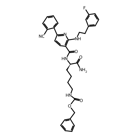 N#Cc1ccccc1-c1ccc(C(=O)N[C@H](CCCCNC(=O)OCc2ccccc2)C(N)=O)c(NCCc2cccc(F)c2)n1